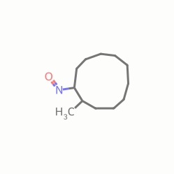 CC1CCCCCCCCCC1N=O